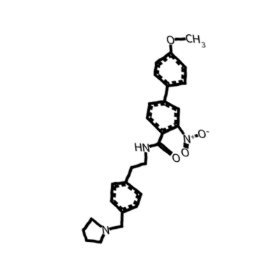 COc1ccc(-c2ccc(C(=O)NCCc3ccc(CN4CCCC4)cc3)c([N+](=O)[O-])c2)cc1